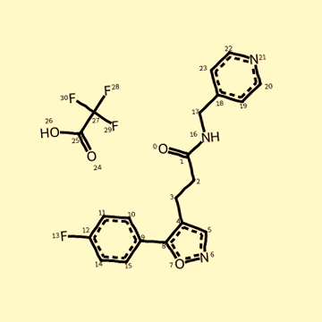 O=C(CCc1cnoc1-c1ccc(F)cc1)NCc1ccncc1.O=C(O)C(F)(F)F